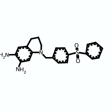 Nc1cc2c(cc1N)N(Cc1ccc(S(=O)(=O)c3ccccc3)cc1)CCC2